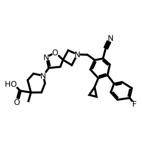 CC1(C(=O)O)CCN(C2=NOC3(C2)CN(Cc2cc(C4CC4)c(-c4ccc(F)cc4)cc2C#N)C3)CC1